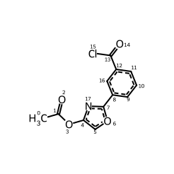 CC(=O)Oc1coc(-c2cccc(C(=O)Cl)c2)n1